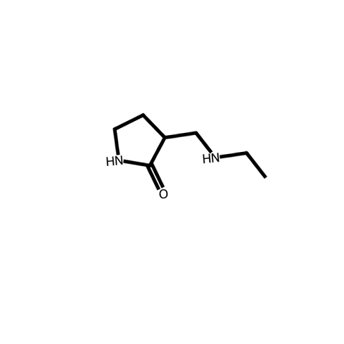 CCNCC1CCNC1=O